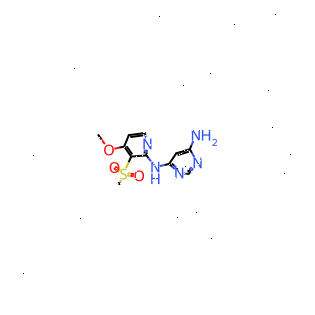 COc1ccnc(Nc2cc(N)ncn2)c1S(C)(=O)=O